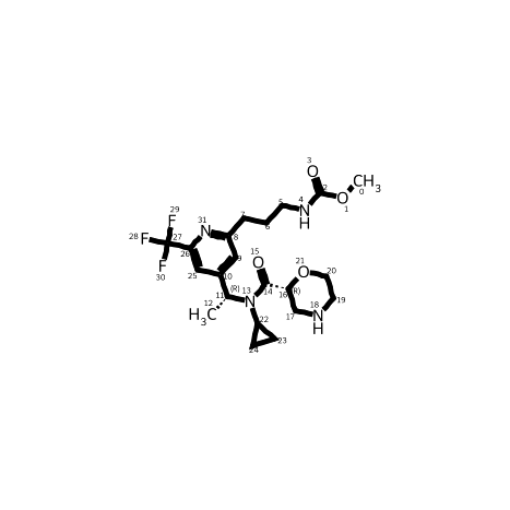 COC(=O)NCCCc1cc([C@@H](C)N(C(=O)[C@H]2CNCCO2)C2CC2)cc(C(F)(F)F)n1